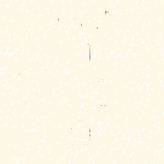 Cc1ccc(CN2CCN(CC(=O)N3CC(C)c4ccccc43)CC2)cc1